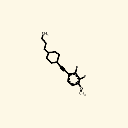 CCCCC1CCC(C#Cc2ccc(OC)c(F)c2F)CC1